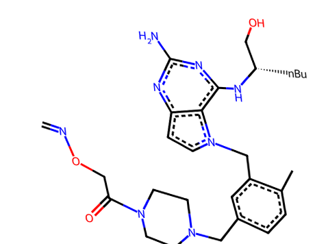 C=NOCC(=O)N1CCN(Cc2ccc(C)c(Cn3ccc4nc(N)nc(N[C@H](CO)CCCC)c43)c2)CC1